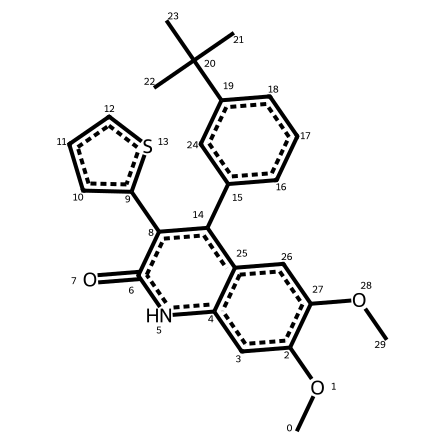 COc1cc2[nH]c(=O)c(-c3cccs3)c(-c3cccc(C(C)(C)C)c3)c2cc1OC